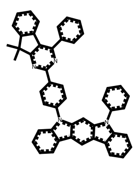 CC1(C)c2ccccc2-c2c(-c3ccccc3)nc(-c3ccc(-n4c5ccccc5c5cc6c7ccccc7n(-c7ccccc7)c6cc54)cc3)nc21